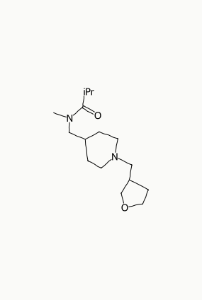 CC(C)C(=O)N(C)CC1CCN(CC2CCOC2)CC1